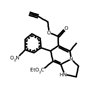 C#CCOC(=O)C1=C(C)N2CCNC2=C(C(=O)OCC)C1c1cccc([N+](=O)[O-])c1